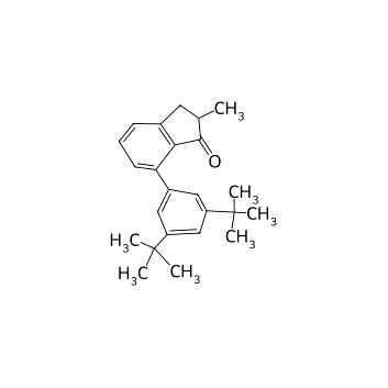 CC1Cc2cccc(-c3cc(C(C)(C)C)cc(C(C)(C)C)c3)c2C1=O